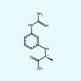 C[C@H](Nc1cccc(NC(=N)N)c1)C(=O)O